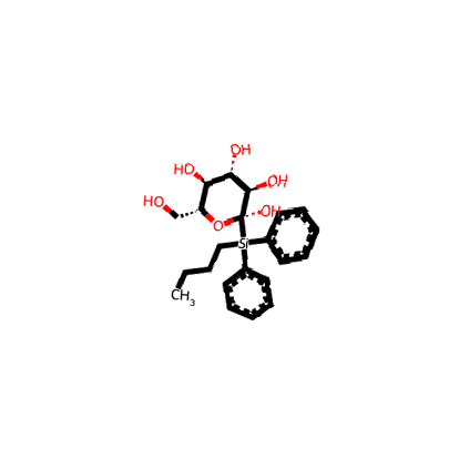 CCCC[Si](c1ccccc1)(c1ccccc1)[C@@]1(O)O[C@H](CO)[C@@H](O)[C@H](O)[C@H]1O